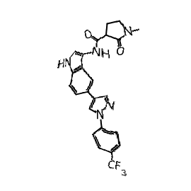 CN1CCC(C(=O)Nc2c[nH]c3ccc(-c4cnn(-c5ccc(C(F)(F)F)cc5)c4)cc23)C1=O